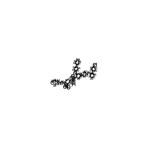 O=C(NS(=O)(=O)c1ccc(NCCCN2CCOCC2)c([N+](=O)[O-])c1)c1ccc(N2CCN(Cc3ccccc3-c3ccc(Cl)cc3)CC2)cc1Oc1ccc(-c2ccncc2)cc1